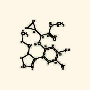 CCOC1CON=C1c1cc(Br)c(F)cc1OC(C(=O)OC)C1CC1